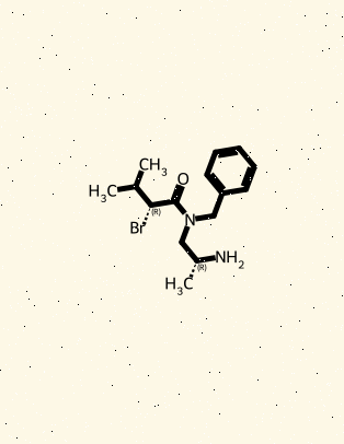 CC(C)[C@@H](Br)C(=O)N(Cc1ccccc1)C[C@@H](C)N